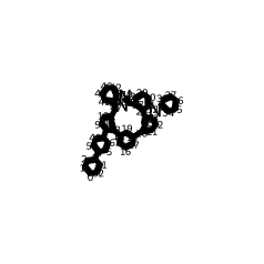 c1ccc(-c2ccc(-c3ccc4cc3c3cccc(c3)c3ccc5c(c3)c3c(cccc3n5-c3ccccc3)c3nc5ccccc5c4n3)cc2)cc1